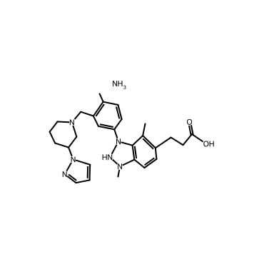 Cc1ccc(N2NN(C)c3ccc(CCC(=O)O)c(C)c32)cc1CN1CCCC(n2cccn2)C1.N